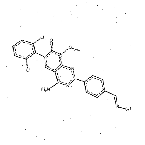 COn1c(=O)c(-c2c(Cl)cccc2Cl)cc2c(N)nc(-c3ccc(C=NO)cc3)nc21